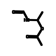 CC(=O)OC(C)NC=O